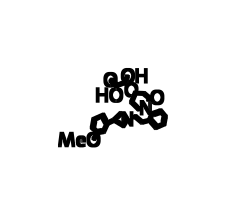 COc1cccc(C2CN(CCc3ccccc3N3CCCCC3=O)C2)c1.O=C(O)C(=O)O